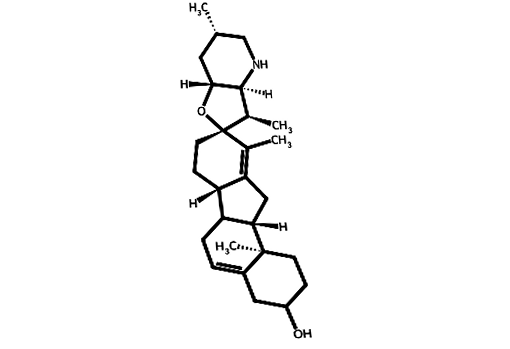 CC1=C2C[C@H]3C(CC=C4CC(O)CC[C@@]43C)[C@@H]2CC[C@]12O[C@@H]1C[C@H](C)CN[C@H]1[C@H]2C